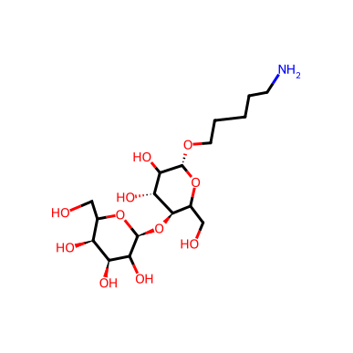 NCCCCCO[C@@H]1OC(CO)[C@@H](O[C@@H]2OC(CO)[C@H](O)[C@H](O)C2O)[C@H](O)C1O